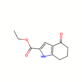 CCOC(=O)c1cc2c([nH]1)CCCC2=O